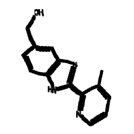 Cc1cccnc1-c1nc2cc(CO)ccc2[nH]1